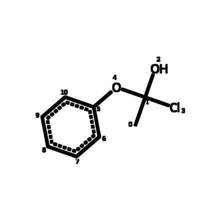 CC(O)(Cl)Oc1ccccc1